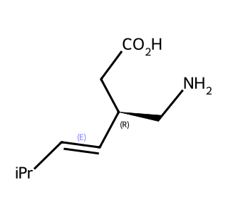 CC(C)/C=C/[C@H](CN)CC(=O)O